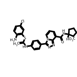 C=C(Nc1ccc(-c2nnc3c(C(=O)NC4(C(=O)O)CCCC4)cccn23)cc1)Sc1cc(Cl)ccc1N